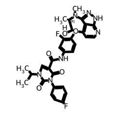 CC(C)n1cc(C(=O)Nc2ccc(Oc3ccnc4[nH]nc(N(C)[C@H](C)CO)c34)c(F)c2)c(=O)n(-c2ccc(F)cc2)c1=O